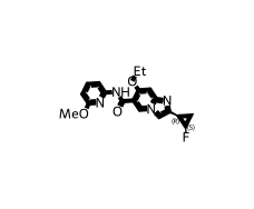 CCOc1cc2nc([C@H]3C[C@@H]3F)cn2cc1C(=O)Nc1cccc(OC)n1